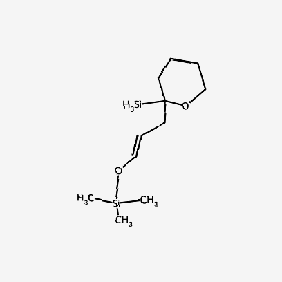 C[Si](C)(C)OC=CCC1([SiH3])CCCCO1